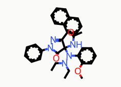 CCN(CC)N(c1ccccc1OC)C1(NC(C)=O)C(=O)N(c2ccccc2)N=C1c1cccc2ccccc12